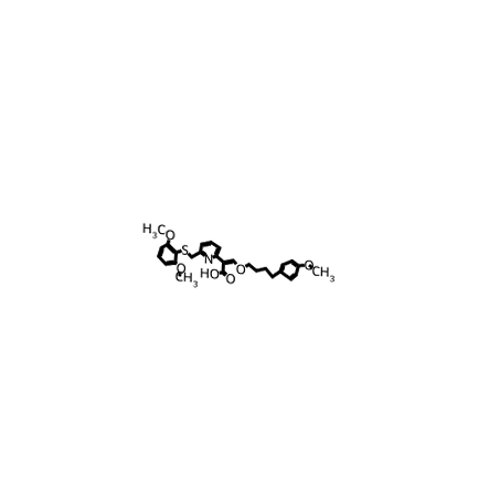 COc1ccc(CCCCOC=C(C(=O)O)c2cccc(CSc3c(OC)cccc3OC)n2)cc1